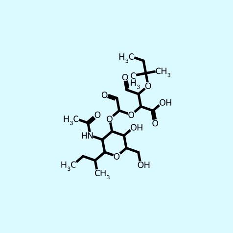 CCC(C)C1OC(CO)C(O)C(OC(C=O)OC(C(=O)O)C(C=O)OC(C)(C)CC)C1NC(C)=O